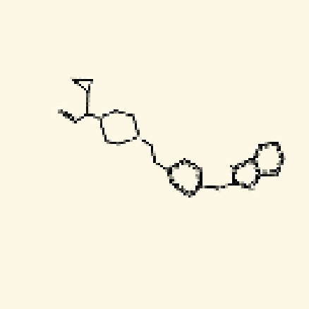 O=CC(C1CC1)N1CCN(CCc2ccc(Oc3nc4ccccc4s3)cc2)CC1